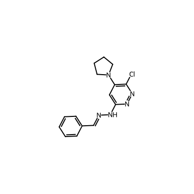 Clc1nnc(NN=Cc2ccccc2)cc1N1CCCC1